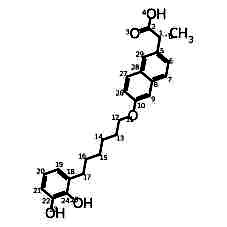 C[C@@H](C(=O)O)c1ccc2cc(OCCCCCCc3cccc(O)c3O)ccc2c1